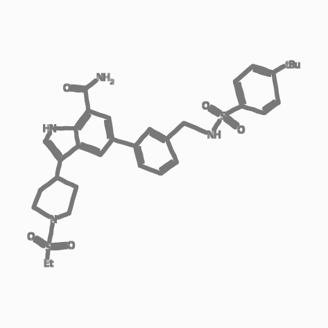 CCS(=O)(=O)N1CCC(c2c[nH]c3c(C(N)=O)cc(-c4cccc(CNS(=O)(=O)c5ccc(C(C)(C)C)cc5)c4)cc23)CC1